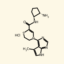 Cc1c[nH]c2ncnc(N3C=C(C(=O)N[C@H]4CCC[C@@H]4N)SCC3)c12.Cl